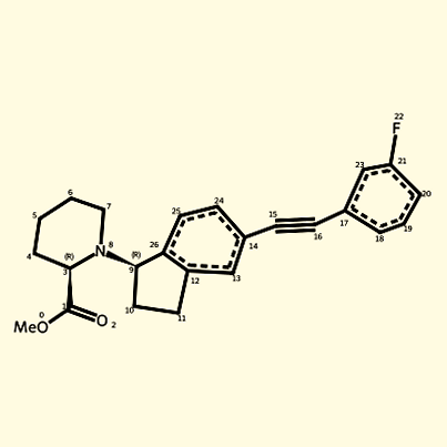 COC(=O)[C@H]1CCCCN1[C@@H]1CCc2cc(C#Cc3cccc(F)c3)ccc21